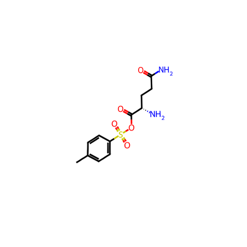 Cc1ccc(S(=O)(=O)OC(=O)[C@@H](N)CCC(N)=O)cc1